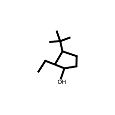 CCC1C(O)CCC1C(C)(C)C